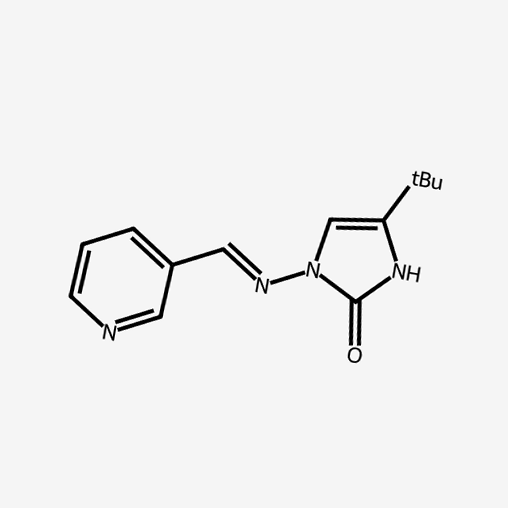 CC(C)(C)c1cn(N=Cc2cccnc2)c(=O)[nH]1